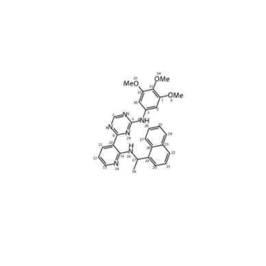 COc1cc(Nc2ncnc(-c3cccnc3NC(C)c3cccc4ccccc34)n2)cc(OC)c1OC